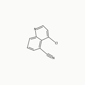 N#Cc1cccc2nccc(Cl)c12